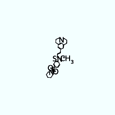 C[n+]1c(/C=C/c2cc3c4c(c2)CCCN4CCC3)sc2cc(S(=O)(=O)N3CCCCC3)ccc21